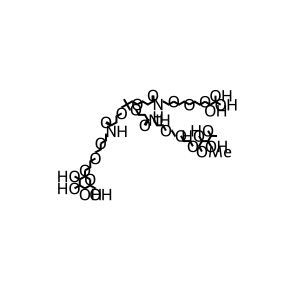 COC(OCCOCCOCCNC(=O)CCOCC(C)(COCCC(=O)NCCOCCOCCOC(O)C(O)O)COCCC(=O)NCCOCCOCCOC1OC(CO)C(O)C(O)C1O)C(O)C(O)C(C)O